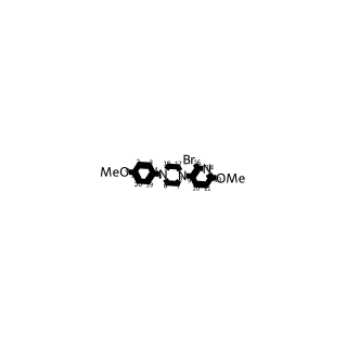 COc1ccc(N2CCN(c3ccc(OC)nc3Br)CC2)cc1